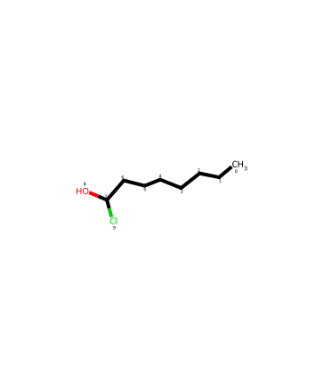 CCCCCCCC(O)Cl